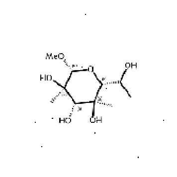 CO[C@@H]1O[C@H](C(C)O)[C@@](C)(O)[C@H](O)[C@@]1(C)O